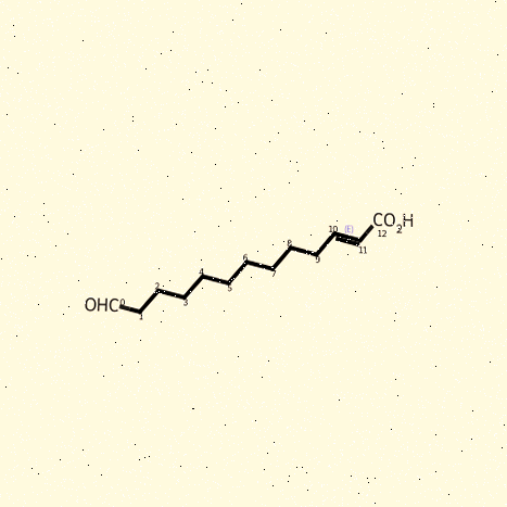 O=CCCCCCCCCC/C=C/C(=O)O